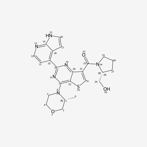 C[C@@H]1COCCN1c1nc(-c2ccnc3[nH]ccc23)nc2c(C(=O)N3CCC[C@@H]3CO)csc12